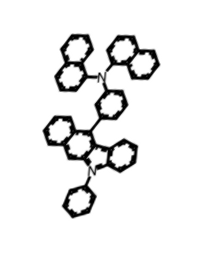 c1ccc(-n2c3ccccc3c3c(-c4cccc(N(c5cccc6ccccc56)c5cccc6ccccc56)c4)c4ccccc4cc32)cc1